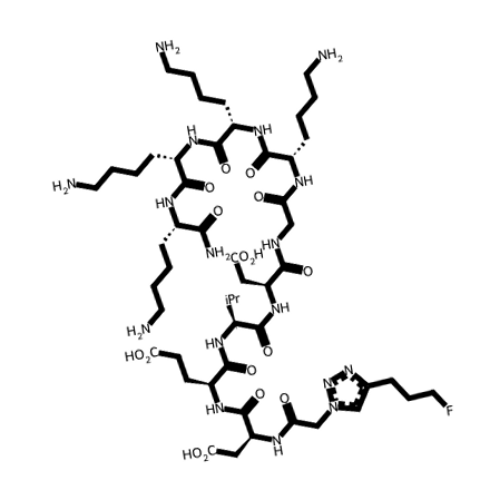 CC(C)[C@H](NC(=O)[C@H](CCC(=O)O)NC(=O)[C@H](CC(=O)O)NC(=O)Cn1cc(CCCF)nn1)C(=O)N[C@@H](CC(=O)O)C(=O)NCC(=O)N[C@@H](CCCCN)C(=O)N[C@@H](CCCCN)C(=O)N[C@@H](CCCCN)C(=O)N[C@@H](CCCCN)C(N)=O